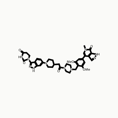 COc1cc(-c2cn(C)c(=O)c3[nH]ncc23)cc(OC)c1CN1CCN(C(=O)CC2CCN(c3ccc4c(N5CCC(=O)NC5=O)n[nH]c4c3)CC2)CC1